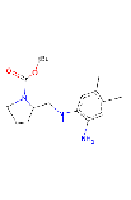 Cc1cc(N)c(NCC2CCCN2C(=O)OC(C)(C)C)cc1C